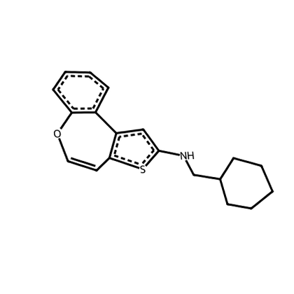 C1=Cc2sc(NCC3CCCCC3)cc2-c2ccccc2O1